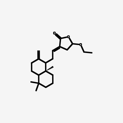 C=C1CCC2C(C)(C)CCC[C@]2(C)C1C/C=C1\CC(OCC)OC1=O